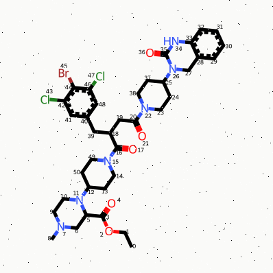 CCOC(=O)C1CN(C)CCN1C1CCN(C(=O)C(CC(=O)N2CCC(N3Cc4ccccc4NC3=O)CC2)Cc2cc(Cl)c(Br)c(Cl)c2)CC1